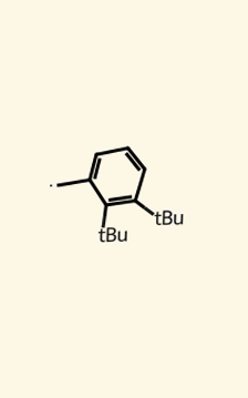 [CH2]c1cccc(C(C)(C)C)c1C(C)(C)C